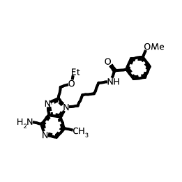 CCOCc1nc2c(N)ncc(C)c2n1CCCCNC(=O)c1cccc(OC)c1